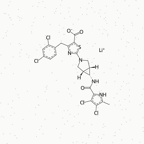 Cc1[nH]c(C(=O)N[C@@H]2[C@@H]3CN(c4nc(Cc5ccc(Cl)cc5Cl)c(C(=O)[O-])s4)C[C@@H]32)c(Cl)c1Cl.[Li+]